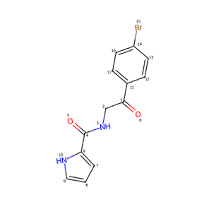 O=C(CNC(=O)c1ccc[nH]1)c1ccc(Br)cc1